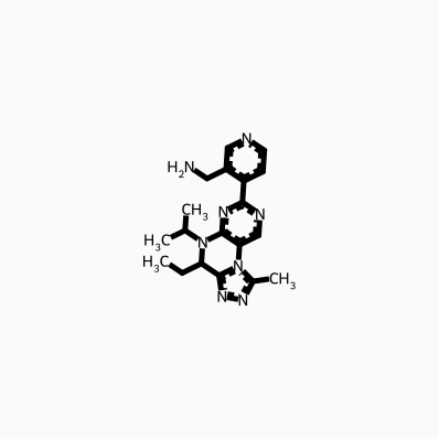 CCC1c2nnc(C)n2-c2cnc(-c3ccncc3CN)nc2N1C(C)C